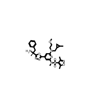 COCCN(CC1CC1C)c1cc(-c2nnc([C@](C)(N)Cc3ccccc3)o2)cc(N(C)S(=O)(=O)c2c(C)noc2C)n1